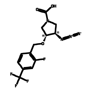 [N-]=[N+]=N[C@@H]1CN(C(=O)O)C[C@H]1OCc1ccc(C(F)(F)F)cc1F